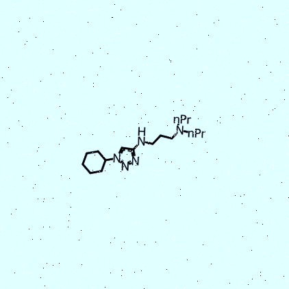 CCCN(CCC)CCCNc1cn(C2CCCCC2)nn1